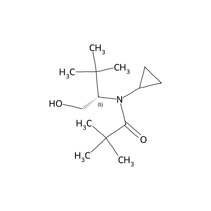 CC(C)(C)C(=O)N(C1CC1)[C@H](CO)C(C)(C)C